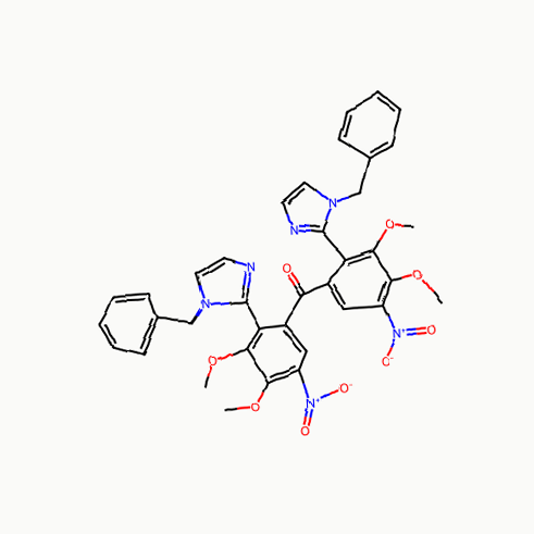 COc1c([N+](=O)[O-])cc(C(=O)c2cc([N+](=O)[O-])c(OC)c(OC)c2-c2nccn2Cc2ccccc2)c(-c2nccn2Cc2ccccc2)c1OC